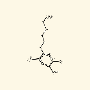 COc1cc([N+](=O)[O-])c(CCCCCC(=O)O)cc1O